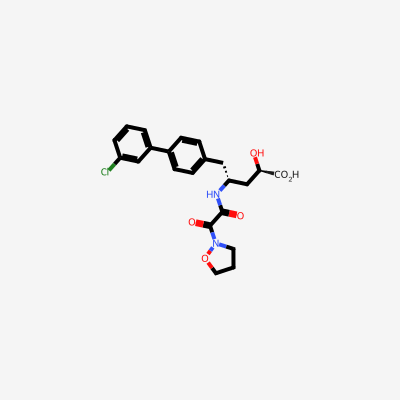 O=C(N[C@H](Cc1ccc(-c2cccc(Cl)c2)cc1)C[C@@H](O)C(=O)O)C(=O)N1CCCO1